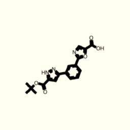 CC(C)(C)OC(=O)c1cc(-c2cccc(-c3ncc(C(=O)O)o3)c2)n[nH]1